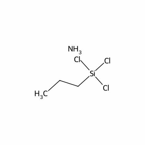 CCC[Si](Cl)(Cl)Cl.N